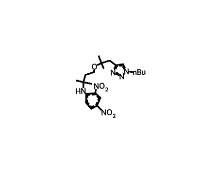 CCCCn1cc(CC(C)(C)OCCC(C)(C)Nc2ccc([N+](=O)[O-])cc2[N+](=O)[O-])nn1